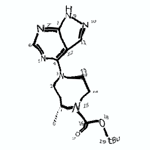 C[C@@H]1CN(c2ncnc3[nH]ncc23)CCN1C(=O)OC(C)(C)C